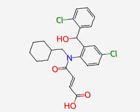 O=C(O)C=CC(=O)N(CC1CCCCC1)c1ccc(Cl)cc1C(O)c1ccccc1Cl